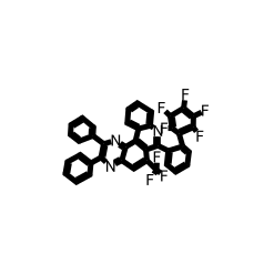 Fc1c(F)c(F)c(-c2ccccc2-c2nc3ccccc3c3c2c(C(F)(F)F)cc2nc(-c4ccccc4)c(-c4ccccc4)nc23)c(F)c1F